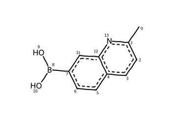 Cc1ccc2ccc(B(O)O)cc2n1